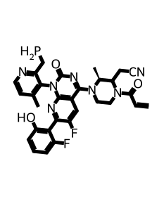 C=CC(=O)N1CCN(c2nc(=O)n(-c3c(C)ccnc3CP)c3nc(-c4c(O)cccc4F)c(F)cc23)[C@@H](C)C1CC#N